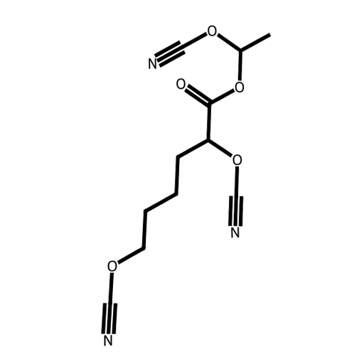 CC(OC#N)OC(=O)C(CCCCOC#N)OC#N